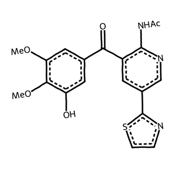 COc1cc(C(=O)c2cc(-c3nccs3)cnc2NC(C)=O)cc(O)c1OC